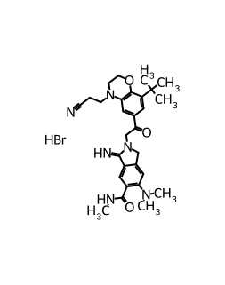 Br.CNC(=O)c1cc2c(cc1N(C)C)CN(CC(=O)c1cc3c(c(C(C)(C)C)c1)OCCN3CCC#N)C2=N